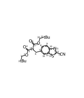 CC(C)(C)COC(=O)N(Cc1ccc2nc(C#N)sc2c1)C(=O)OCC(C)(C)C